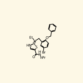 CCCNC(=O)C1=CNN(N(CC)Cc2cc(Br)ccc2OCc2ccccc2)S1